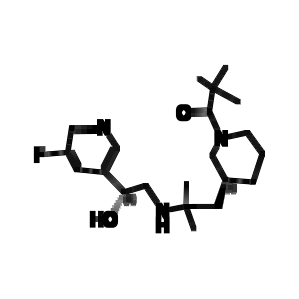 CC(C)(C[C@@H]1CCCN(C(=O)C(C)(C)C)C1)NC[C@H](O)c1cncc(F)c1